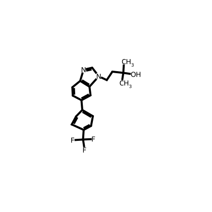 CC(C)(O)CCn1cnc2ccc(-c3ccc(C(F)(F)F)cc3)cc21